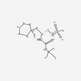 CC(C)(C)OC(=O)N[C@@H](COS(C)(=O)=O)CC1(F)CCCCC1